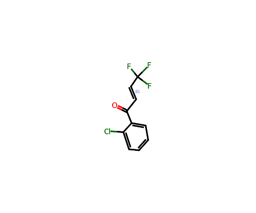 O=C(/C=C/C(F)(F)F)c1ccccc1Cl